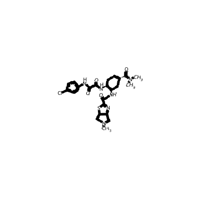 CN1CC2N=C(C(=O)N[C@@H]3C[C@@H](C(=O)N(C)C)CC[C@@H]3NC(=O)C(=O)Nc3ccc(Cl)cc3)SC2C1